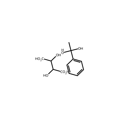 CC(O)(O)c1ccccc1.O=C(O)C(O)C(O)C(=O)O